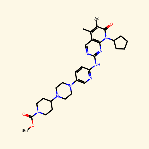 CC(=O)c1c(C)c2cnc(Nc3ccc(N4CCN(C5CCN(C(=O)OC(C)(C)C)CC5)CC4)cn3)nc2n(C2CCCC2)c1=O